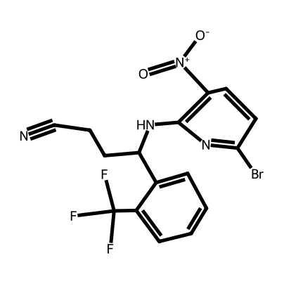 N#CCCC(Nc1nc(Br)ccc1[N+](=O)[O-])c1ccccc1C(F)(F)F